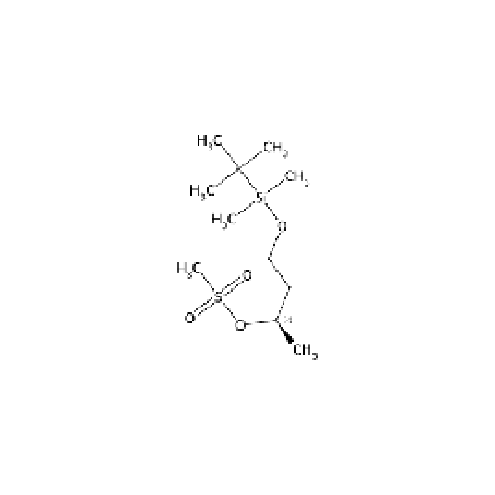 C[C@H](CCO[Si](C)(C)C(C)(C)C)OS(C)(=O)=O